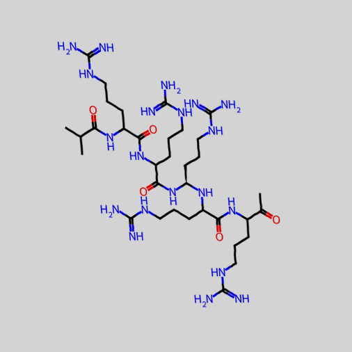 CC(=O)C(CCCNC(=N)N)NC(=O)C(CCCNC(=N)N)N[C@H](CCCNC(=N)N)NC(=O)C(CCCNC(=N)N)NC(=O)C(CCCNC(=N)N)NC(=O)C(C)C